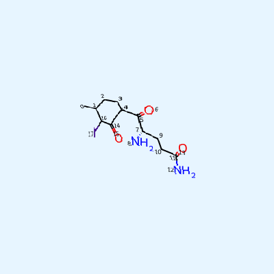 CC1CCC(C(=O)[C@@H](N)CCC(N)=O)C(=O)C1I